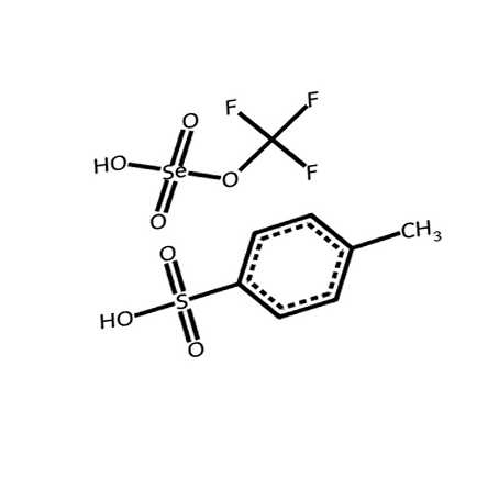 Cc1ccc(S(=O)(=O)O)cc1.O=[Se](=O)(O)OC(F)(F)F